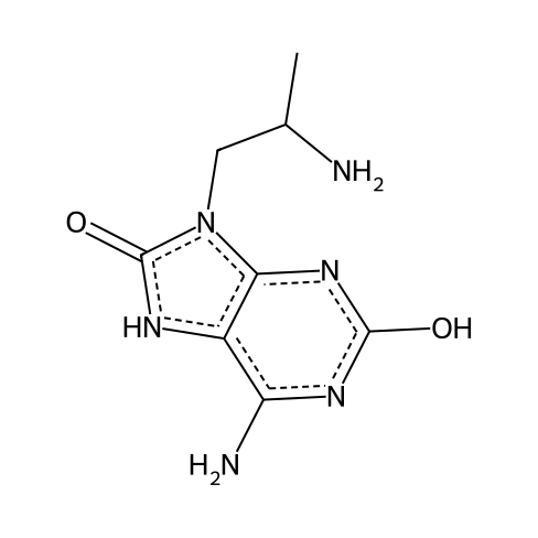 CC(N)Cn1c(=O)[nH]c2c(N)nc(O)nc21